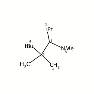 CNC(C(C)C)C(C)(C)C(C)(C)C